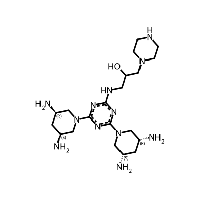 N[C@@H]1C[C@H](N)CN(c2nc(NCC(O)CN3CCNCC3)nc(N3C[C@H](N)C[C@H](N)C3)n2)C1